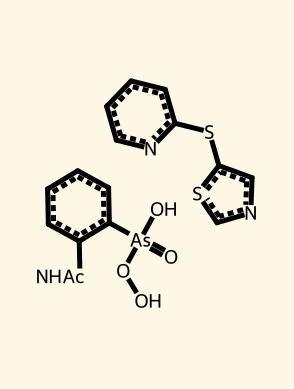 CC(=O)Nc1ccccc1[As](=O)(O)OO.c1ccc(Sc2cncs2)nc1